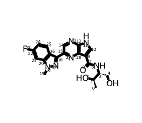 C[C@@H](O)[C@@H](CO)NC(=O)c1c[nH]c2ncc(-c3nn(C)c4cc(F)ccc34)nc12